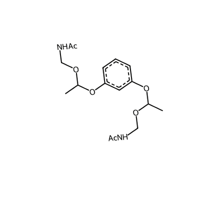 CC(=O)NCOC(C)Oc1cccc(OC(C)OCNC(C)=O)c1